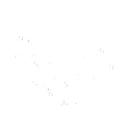 CC(C)n1cnc2c(F)cc(-c3nc(N[C@@H]4CCN(C(=O)C[C@@H](C)N)C[C@H]4O)ncc3Cl)cc21